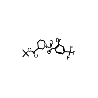 CC(C)(C)OC(=O)C1CCCN(S(=O)(=O)c2ccc(C(F)(F)F)cc2Br)C1